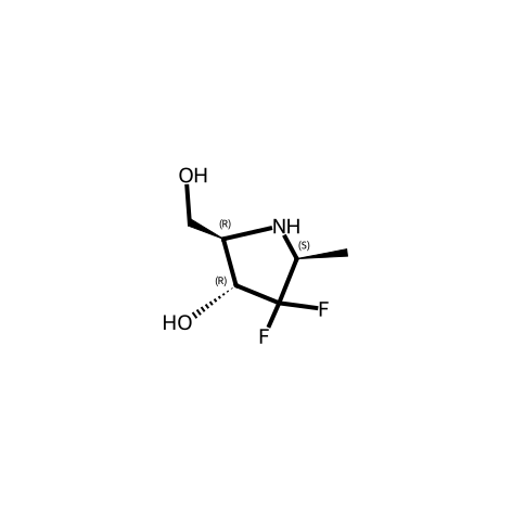 C[C@@H]1N[C@H](CO)[C@@H](O)C1(F)F